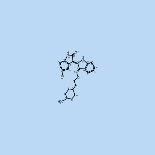 CN1CCC(CCO/N=C2/C(=C3/C(=O)Nc4ccc(Br)cc43)Nc3ccccc32)CC1